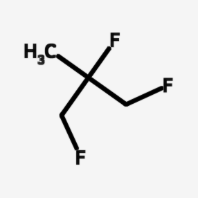 CC(F)(CF)CF